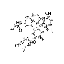 C=CC(=O)Nc1ccc(-c2c(-c3ccc(Oc4ncc(Cl)c(C)n4)c(F)c3)c3c(N)ncc(C#N)c3n2C)c(F)c1